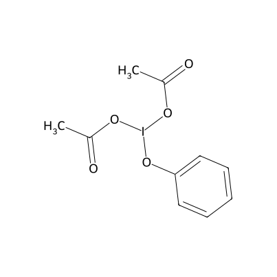 CC(=O)OI(OC(C)=O)Oc1ccccc1